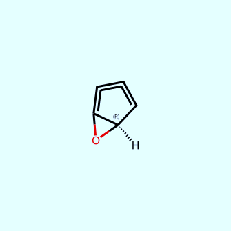 C1=C=C2O[C@@H]2C=1